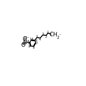 [CH2]CCCCCc1cccc([N+](=O)[O-])c1